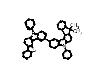 CC1(C)c2ccccc2-c2c1ccc1c2c2cc(-c3ccc4c(c3)c3c5oc6ccccc6c5ccc3n4-c3ccccc3)ccc2n1-c1ccccc1